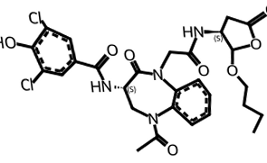 CCCCOC1OC(=O)C[C@@H]1NC(=O)CN1C(=O)[C@@H](NC(=O)c2cc(Cl)c(O)c(Cl)c2)CN(C(C)=O)c2ccccc21